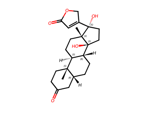 C[C@]12CCC(=O)C[C@H]1CC[C@@H]1[C@@H]2CC[C@]2(C)[C@@](O)(C3=CC(=O)OC3)CC[C@]12O